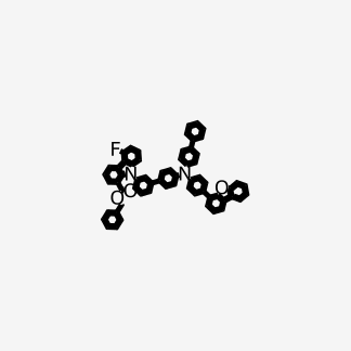 O=C(OCc1ccccc1)c1cccc2c3c(F)cccc3n(-c3cccc(-c4ccc(N(c5ccc(-c6ccccc6)cc5)c5ccc(-c6cccc7c6oc6ccccc67)cc5)cc4)c3)c12